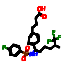 CC(CCCC(NS(=O)(=O)c1ccc(F)cc1)c1ccc(CCCC(=O)O)cc1)C(F)(F)F